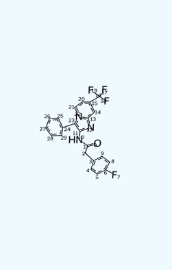 O=C(Cc1ccc(F)cc1)Nc1nc2cc(C(F)(F)F)ccn2c1-c1ccccc1